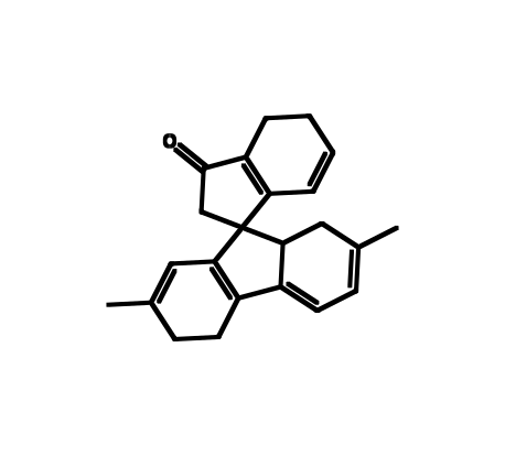 CC1=CC2=C(CC1)C1=CC=C(C)CC1C21CC(=O)C2=C1C=CCC2